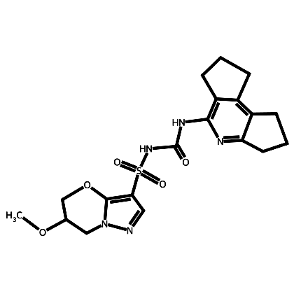 COC1COc2c(S(=O)(=O)NC(=O)Nc3nc4c(c5c3CCC5)CCC4)cnn2C1